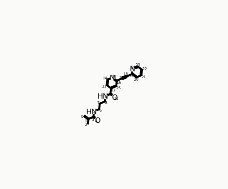 C=C(C)C(=O)NCCCNC(=O)c1ccnc(C#Cc2ccccn2)c1